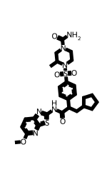 COc1ccc2nc(NC(=O)C(CC3CCCC3)c3ccc(S(=O)(=O)N4CCN(C(N)=O)CC4C)cc3)sc2n1